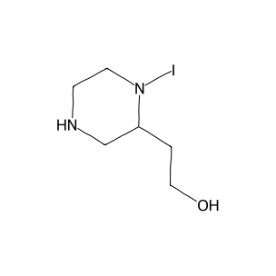 OCCC1CNCCN1I